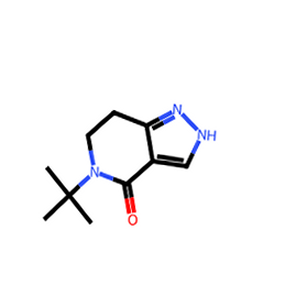 CC(C)(C)N1CCc2n[nH]cc2C1=O